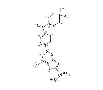 CN(C(=O)O)c1cc2cc(-c3ccc(C(=O)N4CCC(F)(F)CC4)cn3)cc(C(F)(F)F)c2o1